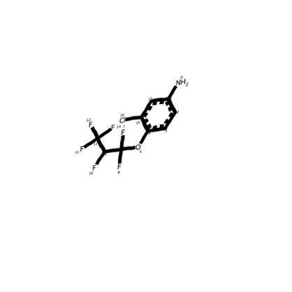 Nc1ccc(OC(F)(F)C(F)C(F)(F)F)c(Cl)c1